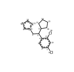 Clc1ccc(C(Cn2cncn2)C2CCCC2)c(Cl)c1